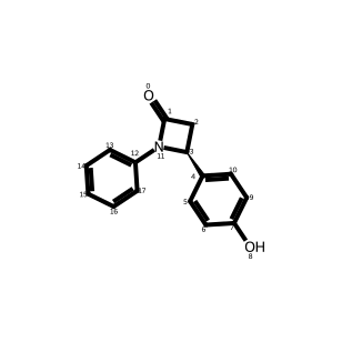 O=C1C[C@@H](c2ccc(O)cc2)N1c1ccccc1